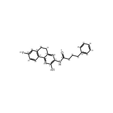 CCc1nc2c(nc1NC(=O)CCCc1ccccc1)CCc1cc(F)ccc1-2